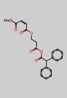 COC(=O)/C=C\C(=O)OCCC(=O)OC(=O)C(c1ccccc1)c1ccccc1